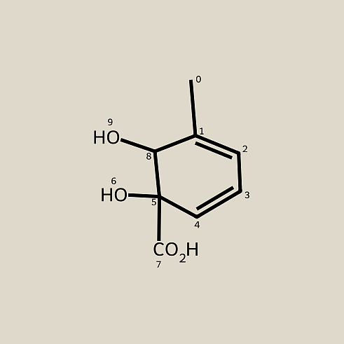 CC1=CC=CC(O)(C(=O)O)C1O